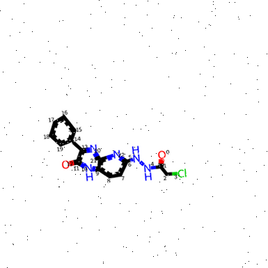 O=C(CCl)NNc1ccc2[nH]c(=O)c(-c3ccccc3)nc2n1